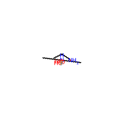 CCCCCCCC/C=C\CCCCCCCCN.CCCCCCCCCCCCCCCCCCNCCCCCCCCCCCCCCCCCC.O=P(O)(O)F